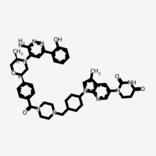 Cc1cn(C2CCC(CN3CCN(C(=O)c4ccc([C@@H]5CN(c6cc(-c7ccccc7O)nnc6N)[C@H](C)CO5)cc4)CC3)CC2)c2ncc(N3CCC(=O)NC3=O)cc12